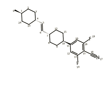 C[C@H]1CC[C@H](C=C[C@H]2CC[C@H](c3cc(F)c(C#N)c(F)c3)CC2)CC1